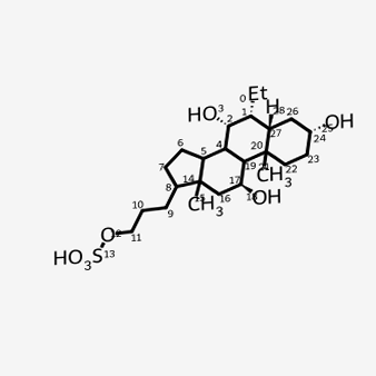 CC[C@H]1[C@@H](O)C2C3CCC(CCCOS(=O)(=O)O)C3(C)C[C@H](O)C2C2(C)CC[C@@H](O)C[C@@H]12